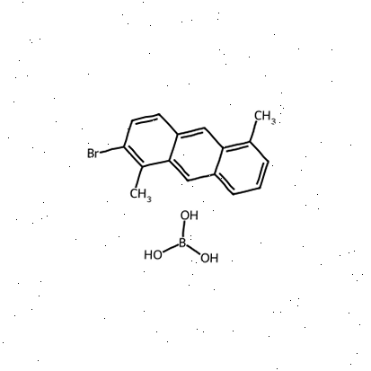 Cc1cccc2cc3c(C)c(Br)ccc3cc12.OB(O)O